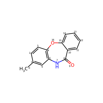 Cc1ccc2c(c1)NC(=O)c1ccccc1O2